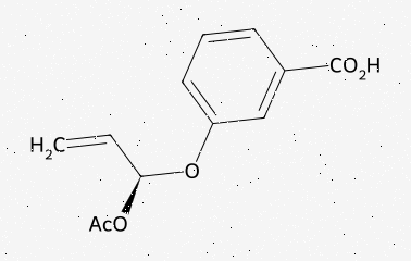 C=C[C@H](OC(C)=O)Oc1cccc(C(=O)O)c1